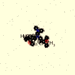 Cc1ccccc1-c1cc2c(c3c1oc1ccccc13)-c1ccc(N(c3ccc4c(c3)C(C)(C)c3c5c(c6oc7ccccc7c6c3-4)-c3ccccc3C5(C)C)c3ccc4c(c3)c3ccccc3n4-c3ccccc3)cc1C2(C)C